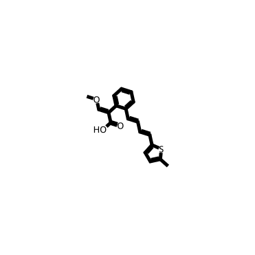 CO/C=C(/C(=O)O)c1ccccc1C=C/C=C/c1ccc(C)s1